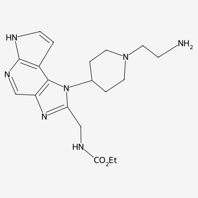 CCOC(=O)NCc1nc2cnc3[nH]ccc3c2n1C1CCN(CCN)CC1